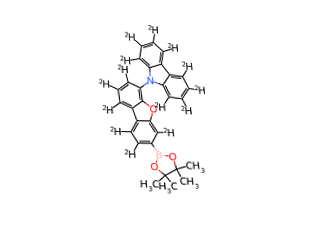 [2H]c1c([2H])c([2H])c2c(oc3c([2H])c(B4OC(C)(C)C(C)(C)O4)c([2H])c([2H])c32)c1-n1c2c([2H])c([2H])c([2H])c([2H])c2c2c([2H])c([2H])c([2H])c([2H])c21